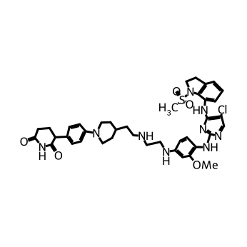 COc1cc(NCCNCCC2CCN(c3ccc(C4CCC(=O)NC4=O)cc3)CC2)ccc1Nc1ncc(Cl)c(Nc2cccc3c2N(S(C)(=O)=O)CC3)n1